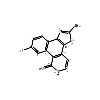 CC(C)(C)c1nc2c3ccc(F)cc3c3c(=O)[nH]ncc3c2[nH]1